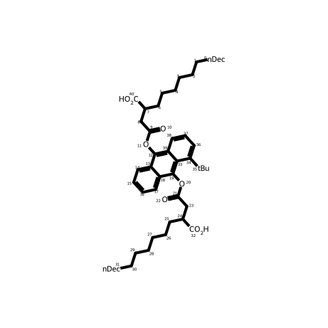 CCCCCCCCCCCCCCCCC(CC(=O)Oc1c2ccccc2c(OC(=O)CC(CCCCCCCCCCCCCCCC)C(=O)O)c2c(C(C)(C)C)cccc12)C(=O)O